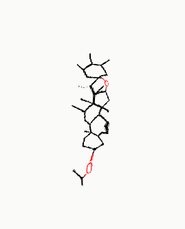 CC(C)O[C@H]1CC[C@@]2(C)C(CCC3C2CC(C)[C@@]2(C)C3(C)CC3OC4(CC(C)C(C)C(C)C4)[C@@H](C)C32C)C1